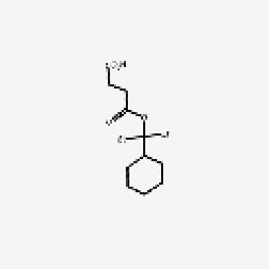 CCC(CC)(OC(=O)CCC(=O)O)C1CCCCC1